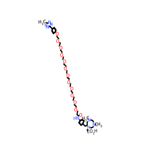 Cc1nnc(-c2ccc(OCCOCCOCCOCCOCCOCCOCCOCCOCCOCCOCCOCCC(=O)Nc3ccc(CC4CN(C)CCN(C)CCN4CC(=O)O)cc3)cc2)nn1